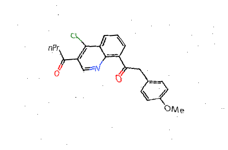 CCCC(=O)c1cnc2c(C(=O)Cc3ccc(OC)cc3)cccc2c1Cl